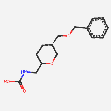 O=C(O)NCC1CC[C@@H](COCc2ccccc2)CO1